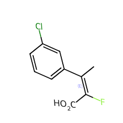 C/C(=C(\F)C(=O)O)c1cccc(Cl)c1